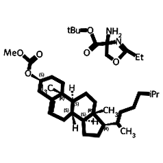 CCC1=NC(N)(C(=O)OC(C)(C)C)CO1.COC(=O)O[C@H]1CC[C@@]2(C)C(=CC[C@H]3[C@@H]4CC[C@H](C(C)CCCC(C)C)[C@@]4(C)CC[C@@H]32)C1